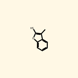 Cc1c(S)oc2ccccc12